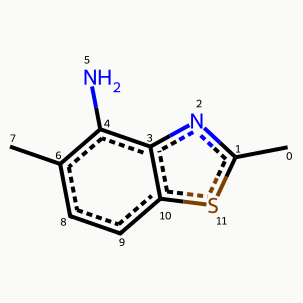 Cc1nc2c(N)c(C)ccc2s1